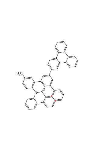 Cc1ccc(-n2c(=O)c3ccccc3c3ccccc32)c(-c2cc(-c3ccccc3)cc(-c3ccc4c5ccccc5c5ccccc5c4c3)c2)c1